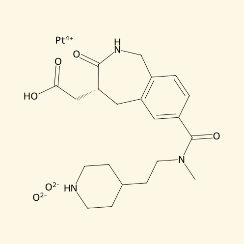 CN(CCC1CCNCC1)C(=O)c1ccc2c(c1)C[C@H](CC(=O)O)C(=O)NC2.[O-2].[O-2].[Pt+4]